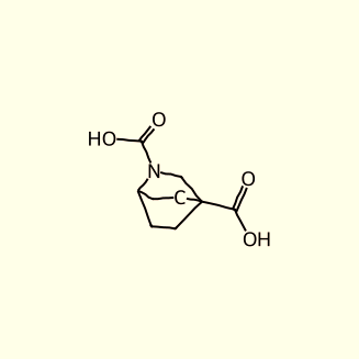 O=C(O)N1CC2(C(=O)O)CCC1CC2